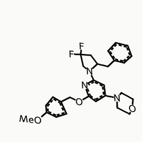 COc1ccc(COc2cc(N3CCOCC3)cc(N3CC(F)(F)CC3Cc3ccccc3)n2)cc1